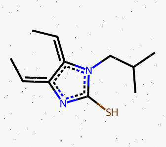 C/C=c1/nc(S)n(CC(C)C)/c1=C/C